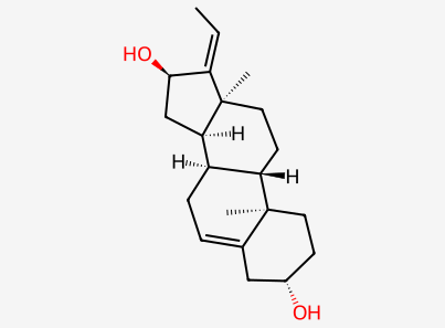 CC=C1[C@H](O)C[C@@H]2[C@@H]3CC=C4C[C@@H](O)CC[C@]4(C)[C@H]3CC[C@]12C